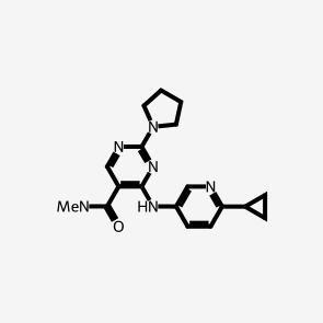 CNC(=O)c1cnc(N2CCCC2)nc1Nc1ccc(C2CC2)nc1